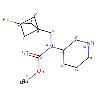 CC(C)(C)OC(=O)N(CC12CC(F)(C1)C2)C1CCCNC1